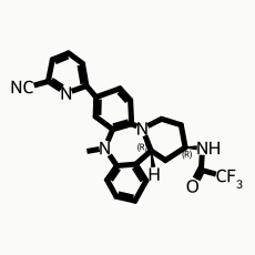 CN1c2ccccc2[C@H]2C[C@H](NC(=O)C(F)(F)F)CCN2c2ccc(-c3cccc(C#N)n3)cc21